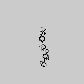 FC(F)(F)Oc1ccc([C@@H]2CC(Oc3ccc(-c4ncco4)nc3)=NO2)cc1